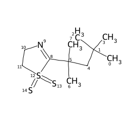 CC(C)(C)CC(C)(C)C1=NCCS1(=S)=S